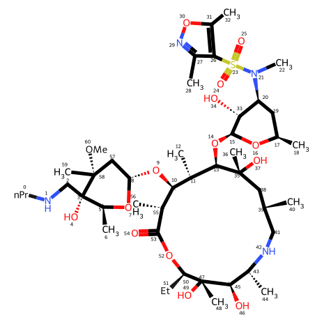 CCCNC[C@]1(O)[C@H](C)O[C@@H](O[C@H]2[C@H](C)[C@@H](O[C@@H]3O[C@H](C)C[C@H](N(C)S(=O)(=O)c4c(C)noc4C)[C@H]3O)[C@](C)(O)C[C@@H](C)CN[C@H](C)[C@@H](O)[C@](C)(O)[C@@H](CC)OC(=O)[C@@H]2C)C[C@@]1(C)OC